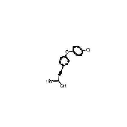 CCCC(O)C#Cc1ccc(Oc2ccc(Cl)cc2)cc1